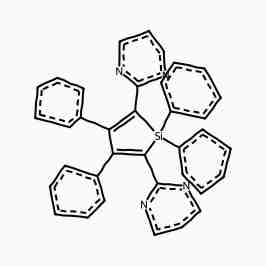 c1ccc(C2=C(c3ncccn3)[Si](c3ccccc3)(c3ccccc3)C(c3ncccn3)=C2c2ccccc2)cc1